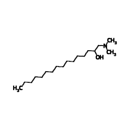 CCCCCCCCCCCCCCC(O)CN(C)C